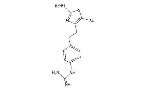 CC(=O)Nc1nc(CCc2ccc(NC(=N)N)cc2)c(C(C)=O)s1